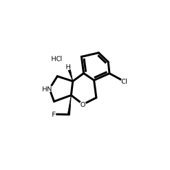 Cl.FC[C@@]12CNC[C@@H]1c1cccc(Cl)c1CO2